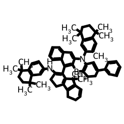 Cc1cc2c(cc1N1C3=C(Bc4c1cc1ccccc1c4C1=C(Nc4ccc5c(c4)C(C)(C)CCC5(C)C)CCC4=C1C(C)(C)C1=C4CCC=C1)CCC(c1ccccc1)=C3)C(C)(C)CCC2(C)C